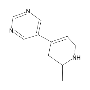 CC1CC(c2cncnc2)=CCN1